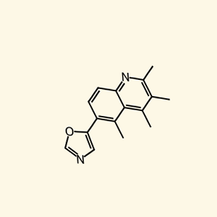 Cc1nc2ccc(-c3cnco3)c(C)c2c(C)c1C